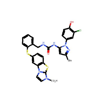 CC(C)(C)c1cc(NC(=O)NCc2ccccc2Sc2ccc3c(c2)N2C=CN(C(=O)O)C2S3)n(-c2ccc(O)c(Cl)c2)n1